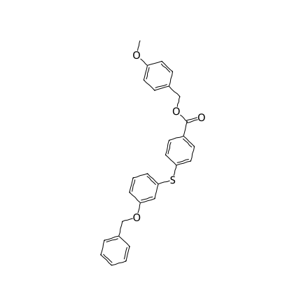 COc1ccc(COC(=O)c2ccc(Sc3cccc(OCc4ccccc4)c3)cc2)cc1